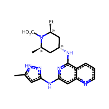 CC[C@H]1C[C@H](Nc2nc(Nc3cc(C)[nH]n3)cc3ncccc23)C[C@@H](C)N1C(=O)O